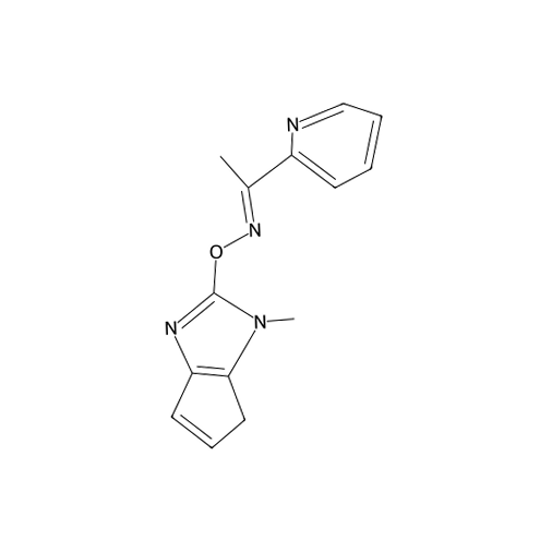 C/C(=N\Oc1nc2c(n1C)CC=C2)c1ccccn1